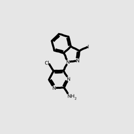 Nc1ncc(Cl)c(-n2nc(I)c3ccccc32)n1